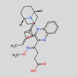 CC=C1C2CC1C2=CN1[C@@H]2CCC[C@H]1C[C@@H](n1c(=O)c(/C(CCC(=O)O)=N/OC)nc3ccccc31)C2